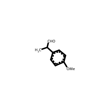 COc1ccc(C(C)C=O)cc1